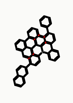 c1ccc(-c2ccc(-c3ccccc3N(c3ccc(-c4ccc5ccccc5c4)cc3)c3ccccc3-c3cccc4cccc(-c5ccccc5)c34)cc2)cc1